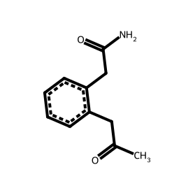 CC(=O)Cc1ccccc1CC(N)=O